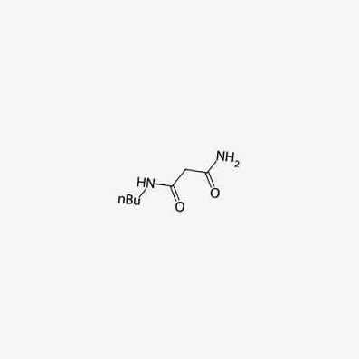 CCCCNC(=O)CC(N)=O